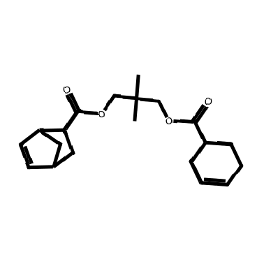 CC(C)(COC(=O)C1CC=CCC1)COC(=O)C1CC2C=CC1C2